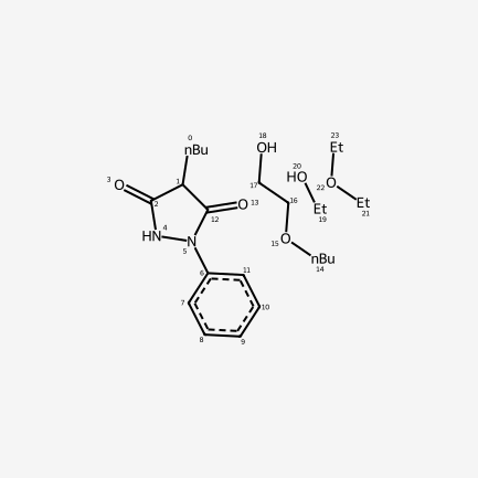 CCCCC1C(=O)NN(c2ccccc2)C1=O.CCCCOCCO.CCO.CCOCC